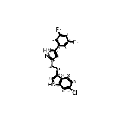 Fc1cc(F)cc(-c2cc(CSc3c[nH]c4cc(Cl)ccc34)n[nH]2)c1